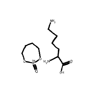 NCCCCC(N)C(=O)O.O=[PH]1OCCCCO1